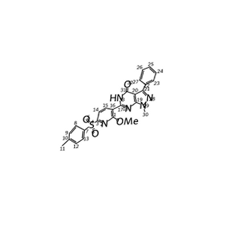 COc1nc(S(=O)(=O)c2ccc(C)cc2)ccc1-c1nc2c(c(-c3ccccc3)nn2C)c(=O)[nH]1